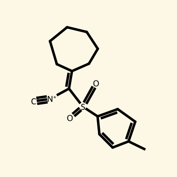 [C-]#[N+]C(=C1CCCCCC1)S(=O)(=O)c1ccc(C)cc1